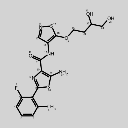 Cc1cccc(F)c1-c1nc(C(=O)Nc2cnsc2OCCC(O)CO)c(N)s1